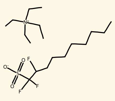 CCCCCCCCC(F)C(F)(F)S(=O)(=O)[O-].CC[N+](CC)(CC)CC